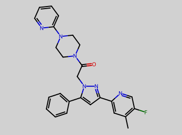 Cc1cc(-c2cc(-c3ccccc3)n(CC(=O)N3CCN(c4ccccn4)CC3)n2)ncc1F